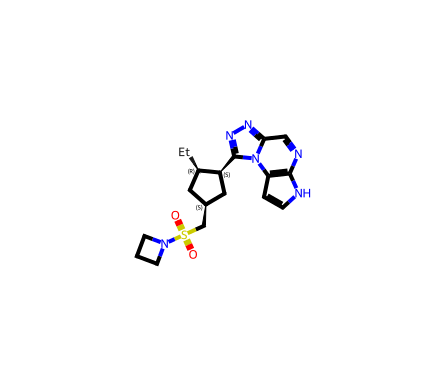 CC[C@@H]1C[C@H](CS(=O)(=O)N2CCC2)C[C@@H]1c1nnc2cnc3[nH]ccc3n12